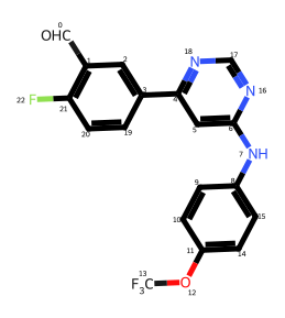 O=Cc1cc(-c2cc(Nc3ccc(OC(F)(F)F)cc3)ncn2)ccc1F